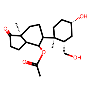 CC(=O)O[C@H]1C2CCC(=O)[C@@]2(C)CCC1[C@@]1(C)CC[C@H](O)C[C@@H]1CO